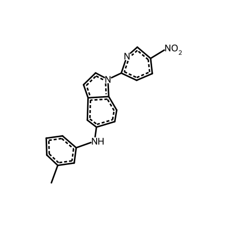 Cc1cccc(Nc2ccc3c(ccn3-c3ccc([N+](=O)[O-])cn3)c2)c1